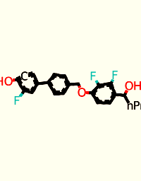 CCCC(O)c1ccc(OCc2ccc(-c3ccc(O)c(F)c3)cc2)c(F)c1F